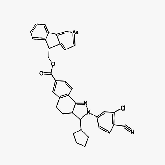 N#Cc1ccc(N2N=C3c4ccc(C(=O)OCC5C6=CC=[As]C=C6c6ccccc65)cc4CCC3C2C2CCCC2)cc1Cl